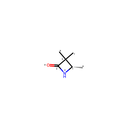 C[C@@H]1NC(=O)C1(C)C